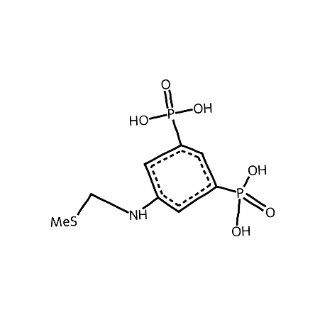 CSCNc1cc(P(=O)(O)O)cc(P(=O)(O)O)c1